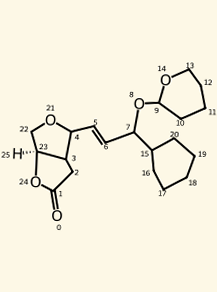 O=C1CC2C(C=CC(OC3CCCCO3)C3CCCCC3)OC[C@@H]2O1